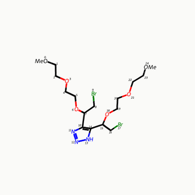 COCCOCCOC(CBr)c1nn[nH]c1C(CBr)OCCOCCOC